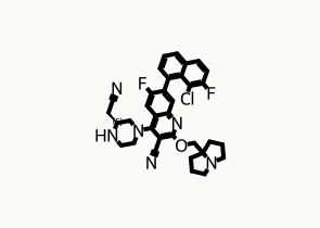 N#CC[C@H]1CN(c2c(C#N)c(OCC34CCCN3CCC4)nc3cc(-c4cccc5ccc(F)c(Cl)c45)c(F)cc23)CCN1